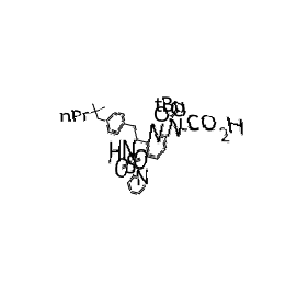 CCCC(C)(C)Cc1ccc(CC(NS(=O)(=O)c2ccccn2)c2cccc(N(CC(=O)O)C(=O)OC(C)(C)C)n2)cc1